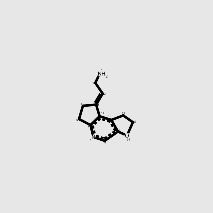 NCC=C1CCc2ncc3c(c21)CCO3